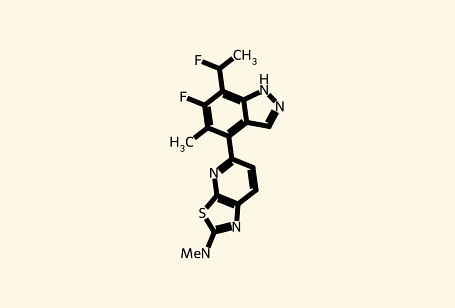 CNc1nc2ccc(-c3c(C)c(F)c(C(C)F)c4[nH]ncc34)nc2s1